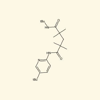 CC(C)(C)NC(=O)C(C)(C)CC(C)(C)C(=O)Nc1ccc(C(C)(C)C)cn1